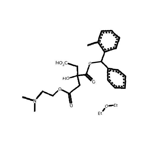 CCOCC.Cc1ccccc1C(OC(=O)C(O)(CC(=O)O)CC(=O)OCCN(C)C)c1ccccc1